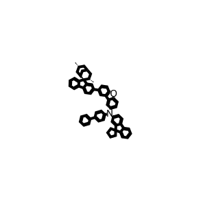 C[C@@H]1CC2CC(C1)[C@@]1(c3ccccc3-c3ccc(-c4ccc5oc6ccc(N(c7ccc(-c8ccccc8)cc7)c7ccc8c(c7)C7(CCCC7)c7ccccc7-8)cc6c5c4)cc31)[C@@H](C)C2